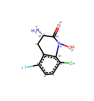 N[C@H]1Cc2c(F)ccc(Cl)c2N(O)C1=O